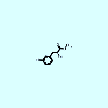 COC(=O)[C@@H](O)Cc1cccc(Cl)c1